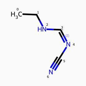 CCN/[C]=N\C#N